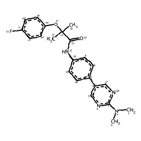 CN(C)c1ncc(-c2ccc(NC(=O)C(C)(C)Oc3ccc(F)cc3)cc2)cn1